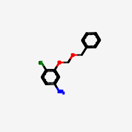 Nc1ccc(Cl)c(OCOCc2ccccc2)c1